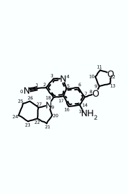 N#Cc1cnc2cc(OC3CCOC3)c(N)cc2c1N1CCC2CCCCC21